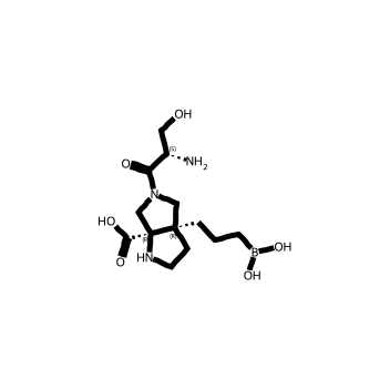 N[C@@H](CO)C(=O)N1C[C@@]2(CCCB(O)O)CCN[C@@]2(C(=O)O)C1